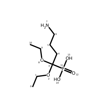 CCOC(CCCN)(OCC)P(=O)(O)O